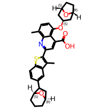 Cc1c(-c2cc(C(=O)O)c3c(O[C@@H]4C[C@H]5CC[C@@H](C4)O5)ccc(C)c3n2)sc2ccc(C3C[C@H]4CCC[C@@H]3O4)cc12